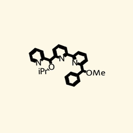 COC(c1ccccc1)c1cccc(-c2cccc(C(OC(C)C)c3ccccn3)n2)n1